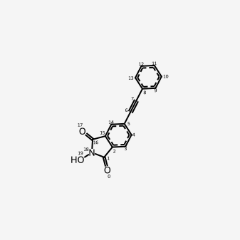 O=C1c2ccc(C#Cc3ccccc3)cc2C(=O)N1O